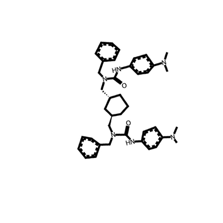 CN(C)c1ccc(NC(=O)N(Cc2ccccc2)C[C@@H]2CCC[C@@H](CN(Cc3ccccc3)C(=O)Nc3ccc(N(C)C)cc3)C2)cc1